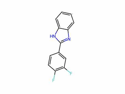 Fc1ccc(-c2nc3c[c]ccc3[nH]2)cc1F